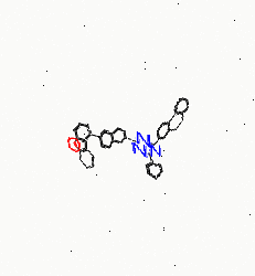 C1=Cc2c(oc3cccc(-c4ccc5cc(-c6nc(-c7ccccc7)nc(-c7ccc8c(c7)CCc7ccccc7-8)n6)ccc5c4)c23)CC1